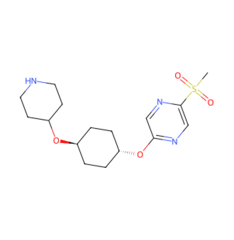 CS(=O)(=O)c1cnc(O[C@H]2CC[C@H](OC3CCNCC3)CC2)cn1